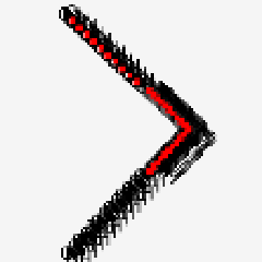 N.N.N.N.N.N.N.N.N.N.N.N.N.N.N.N.N.N.N.N.N.N.N.N.N.N.N.N.N.N.N.N.N.N.N.N.N.N.N.N.N.N.N.N.O=[N+]([O-])O.O=[N+]([O-])O.O=[N+]([O-])O.O=[N+]([O-])O.O=[N+]([O-])O.O=[N+]([O-])O.O=[N+]([O-])O.O=[N+]([O-])O.O=[N+]([O-])O.O=[N+]([O-])O.O=[N+]([O-])O.O=[N+]([O-])O.O=[N+]([O-])O.O=[N+]([O-])O.O=[N+]([O-])O.O=[N+]([O-])O.O=[N+]([O-])O.O=[N+]([O-])O.O=[N+]([O-])O.O=[N+]([O-])O.O=[N+]([O-])O.O=[N+]([O-])O.O=[N+]([O-])O.O=[N+]([O-])O